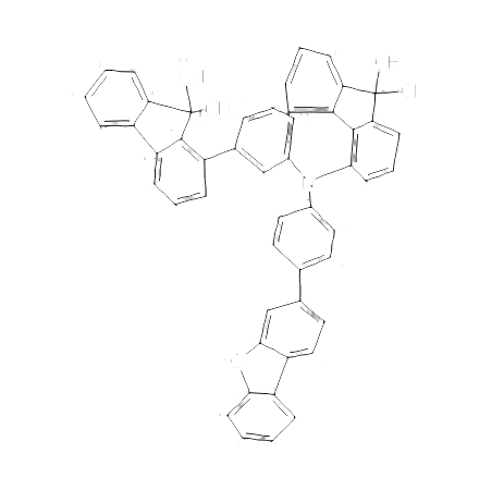 CC1(C)c2ccccc2-c2c(N(c3ccc(-c4ccc5c(c4)oc4ccccc45)cc3)c3cccc(-c4cccc5c4C(C)(C)c4ccccc4-5)c3)cccc21